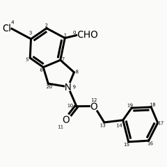 O=Cc1cc(Cl)cc2c1CN(C(=O)OCc1ccccc1)C2